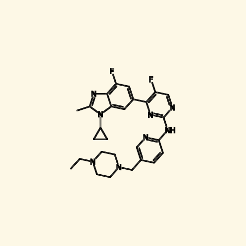 CCN1CCN(Cc2ccc(Nc3ncc(F)c(-c4cc(F)c5nc(C)n(C6CC6)c5c4)n3)nc2)CC1